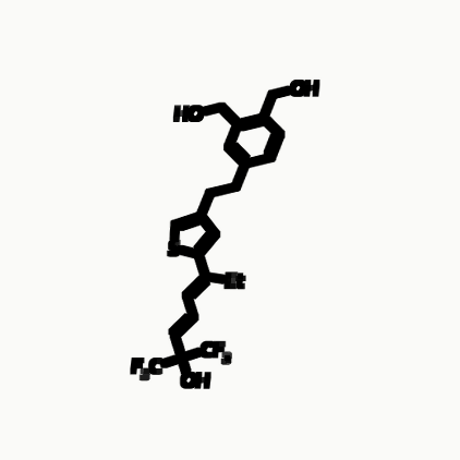 CC/C(=C\C=C\C(O)(C(F)(F)F)C(F)(F)F)c1cc(CCc2ccc(CO)c(CO)c2)cs1